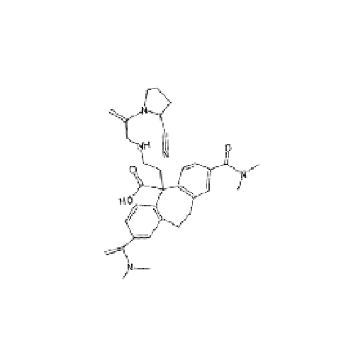 C=C(c1ccc2c(c1)CCc1cc(C(=O)N(C)C)ccc1C2(CCNCC(=C)N1CCCC1C#N)C(=O)O)N(C)C